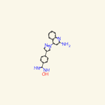 N=C(NO)c1ccc(-c2cnn(-c3cc(N)nc4ccccc34)c2)cc1